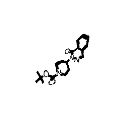 CC(C)(C)OC(=O)N1CCC(n2ncc3ccccc3c2=O)CC1